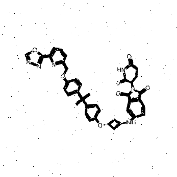 CC(C)(c1ccc(OCc2cccc(-c3nnco3)n2)cc1)c1ccc(O[C@H]2C[C@H](Nc3ccc4c(c3)C(=O)N(C3CCC(=O)NC3=O)C4=O)C2)cc1